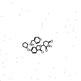 O=C1CCC(N2Cc3cc(O[C@@H]4CCC[C@@H]4NCc4ccncc4)ccc3C2=O)C(=O)N1